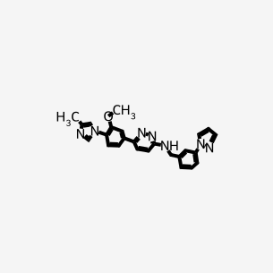 COc1cc(-c2ccc(NCc3cccc(-n4cccn4)c3)nn2)ccc1-n1cnc(C)c1